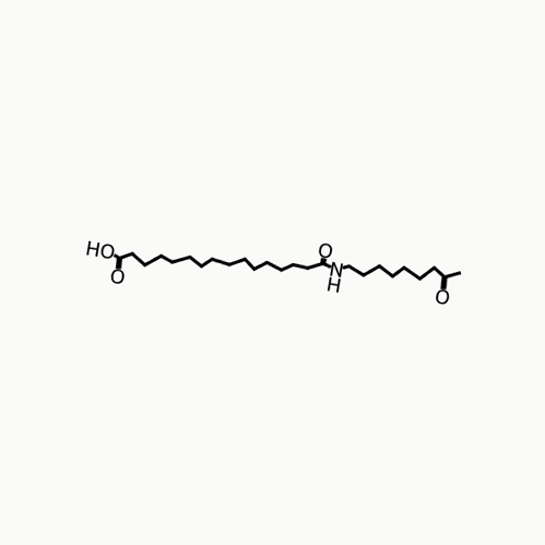 CC(=O)CCCCCCCNC(=O)CCCCCCCCCCCCCCC(=O)O